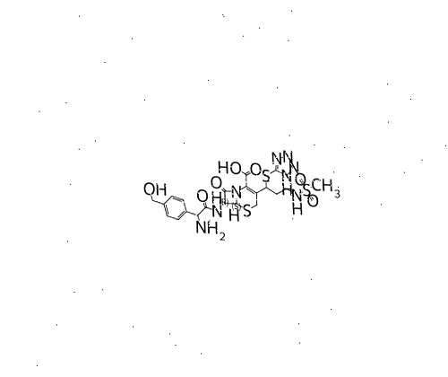 CS(=O)(=O)NCCC(Sc1nnn[nH]1)C1=C(C(=O)O)N2C(=O)[C@@H](NC(=O)C(N)c3ccc(CO)cc3)[C@@H]2SC1